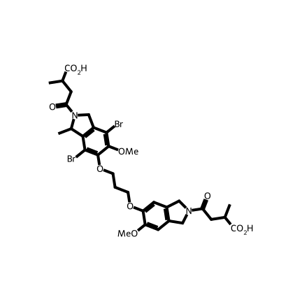 COc1cc2c(cc1OCCCOc1c(Br)c3c(c(Br)c1OC)CN(C(=O)CC(C)C(=O)O)C3C)CN(C(=O)CC(C)C(=O)O)C2